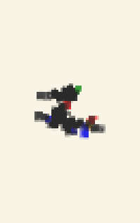 CC(=O)OCCc1ccc(F)cc1OCc1cc(-c2ccnc(CN[S@@+]([O-])C(C)(C)C)c2)c2ccn(C(C)C)c2c1